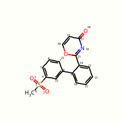 CS(=O)(=O)c1cccc(-c2ccccc2-c2nc(=O)cco2)c1